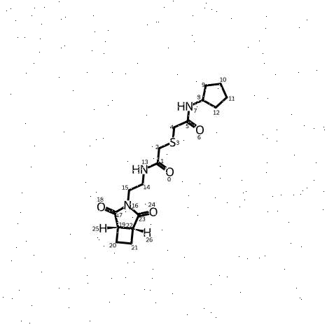 O=C(CSCC(=O)NC1CCCC1)NCCN1C(=O)[C@H]2CC[C@H]2C1=O